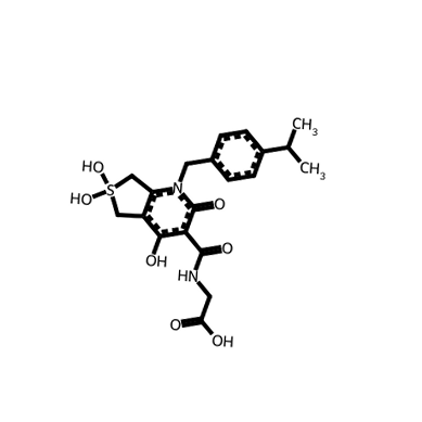 CC(C)c1ccc(Cn2c3c(c(O)c(C(=O)NCC(=O)O)c2=O)CS(O)(O)C3)cc1